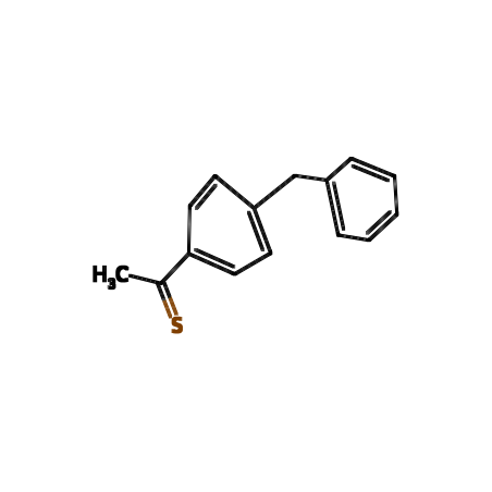 CC(=S)c1ccc(Cc2ccccc2)cc1